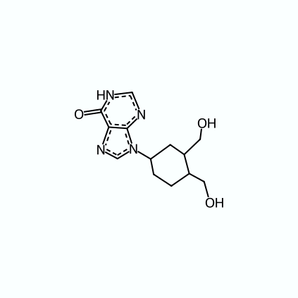 O=c1[nH]cnc2c1ncn2C1CCC(CO)C(CO)C1